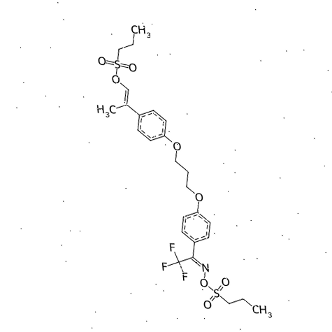 CCCS(=O)(=O)O/C=C(\C)c1ccc(OCCCOc2ccc(/C(=N/OS(=O)(=O)CCC)C(F)(F)F)cc2)cc1